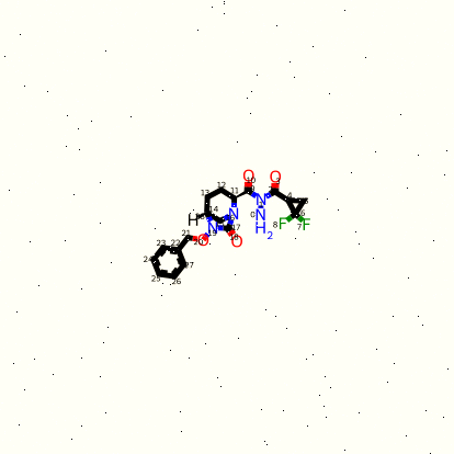 NN(C(=O)C1CC1(F)F)C(=O)[C@@H]1CC[C@@H]2CN1C(=O)N2OCc1ccccc1